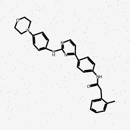 Cc1ccccc1CC(=O)Nc1ccc(-c2ccnc(Nc3ccc(N4CCOCC4)cc3)n2)cc1